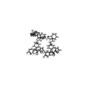 Cc1ccc(N(C(=O)c2ccco2)C2CCN(CCC3(CC(=O)NS(C)(=O)=O)CCCCC3)CC2)cc1.Cc1ccc(N(C(=O)c2ccco2)C2CCN(CCC3(CC(=O)O)CCCCC3)CC2)cc1